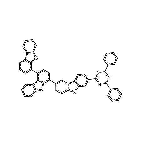 c1ccc(-c2nc(-c3ccccc3)nc(-c3ccc4c(c3)sc3ccc(-c5ccc(-c6cccc7c6sc6ccccc67)c6c5sc5ccccc56)cc34)n2)cc1